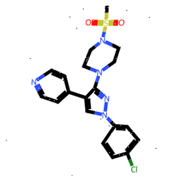 CS(=O)(=O)N1CCN(c2nn(-c3ccc(Cl)cc3)cc2-c2ccncc2)CC1